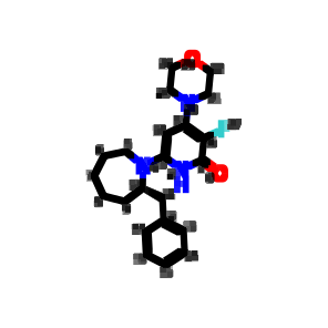 O=c1[nH]c(N2CCCCC[C@@H]2Cc2ccccc2)cc(N2CCOCC2)c1F